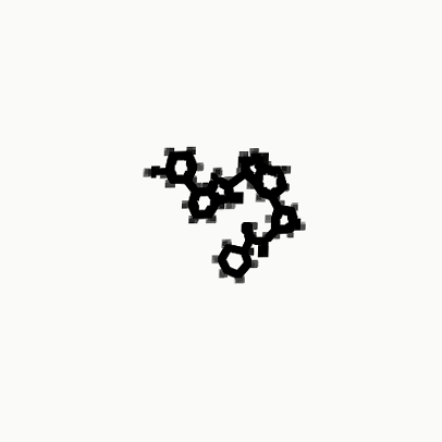 O=C(Nc1cncc(-c2cnc3[nH]nc(-c4nc5c(-c6cccc(F)c6)cccc5[nH]4)c3c2)c1)C1CCCCC1